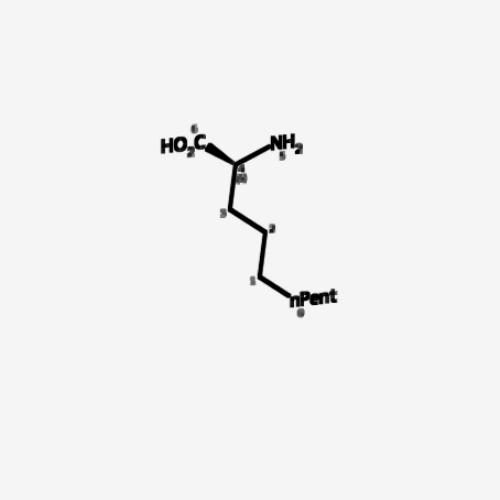 CCCCCCCC[C@H](N)C(=O)O